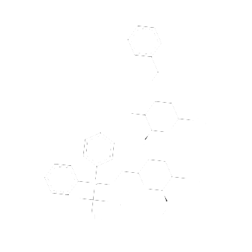 CO[C@H]1OC(CO[Si](c2ccccc2)(c2ccccc2)C(C)(C)C)[C@H](O[C@@H]2OC(C)[C@@H](O)[C@@H](OCc3ccccc3)C2C)[C@H](C)C1C